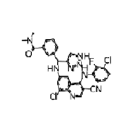 CN(C)C(=O)c1cccc(C(Nc2cc(Cl)c3ncc(C#N)c(Nc4cccc(Cl)c4F)c3c2)c2c[nH]nn2)c1